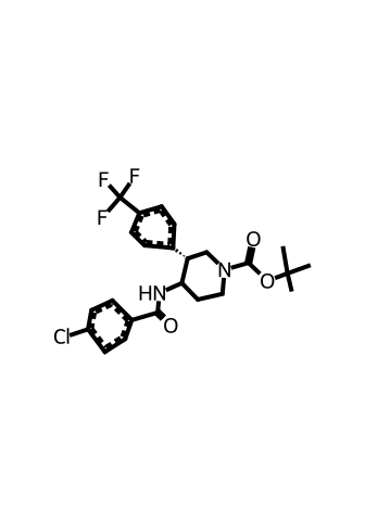 CC(C)(C)OC(=O)N1CCC(NC(=O)c2ccc(Cl)cc2)[C@H](c2ccc(C(F)(F)F)cc2)C1